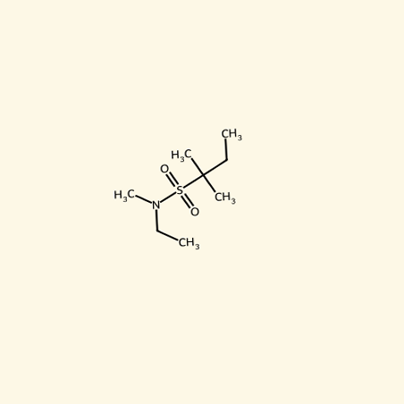 CCN(C)S(=O)(=O)C(C)(C)CC